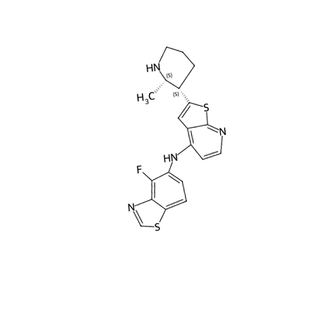 C[C@@H]1NCCC[C@@H]1c1cc2c(Nc3ccc4scnc4c3F)ccnc2s1